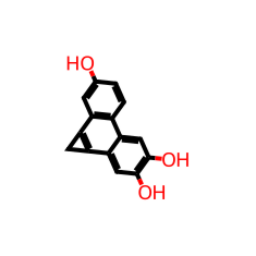 Oc1ccc2c(c1)c1c(c3cc(O)c(O)cc32)C1